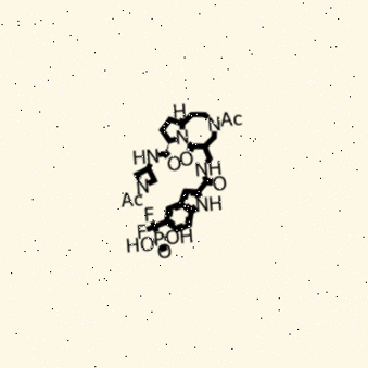 CC(=O)N1CC(NC(=O)[C@@H]2CC[C@@H]3CCN(C(C)=O)CC(CNC(=O)c4cc5cc(C(F)(F)P(=O)(O)O)ccc5[nH]4)C(=O)N32)C1